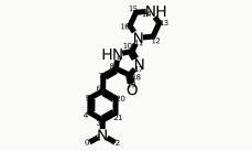 CN(C)c1ccc(C=C2NC(N3CCNCC3)=NC2=O)cc1